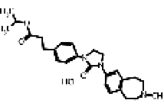 CC(C)OC(=O)CCc1ccc(N2CCN(c3ccc4c(c3)CCN(C)CC4)C2=O)cc1.Cl